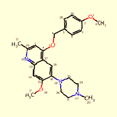 COc1ccc(COc2cc(C)nc3cc(OC)c(N4CCN(C)CC4)cc23)cc1